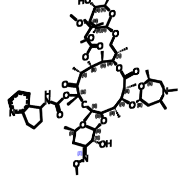 CO/N=C1\C[C@@H](C)O[C@@H](O[C@@H]2[C@@H](C)[C@H](O[C@H]3CC(C)N(C)C[C@H](C)O3)[C@@H](C)C(=O)O[C@H]([C@@H](C)CO[C@@H]3O[C@H](C)[C@@H](O)[C@@H](OC)[C@H]3OC)[C@H](C)[C@@H](OC(=O)CC(C)C)[C@@H](C)C(=O)[C@@](C)(OC(=O)NC3CCCc4ncccc43)C[C@@H]2C)[C@@H]1O